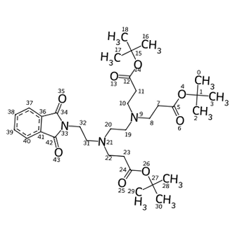 CC(C)(C)OC(=O)CCN(CCC(=O)OC(C)(C)C)CCN(CCC(=O)OC(C)(C)C)CCN1C(=O)c2ccccc2C1=O